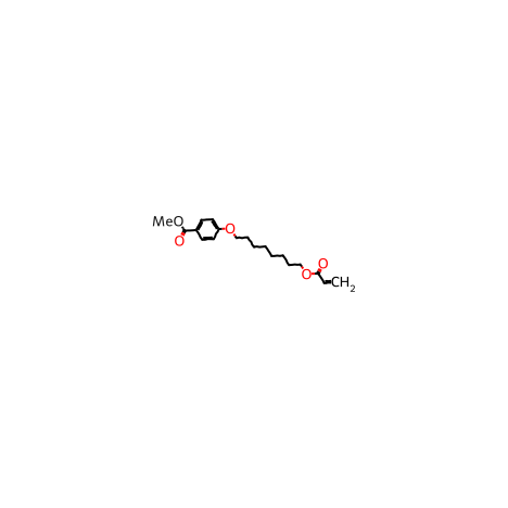 C=CC(=O)OCCCCCCCCOc1ccc(C(=O)OC)cc1